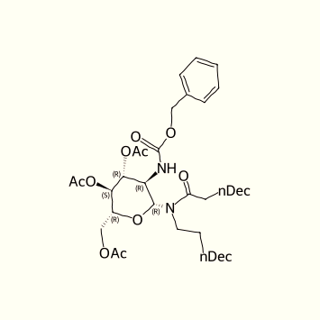 CCCCCCCCCCCCN(C(=O)CCCCCCCCCCC)[C@@H]1O[C@H](COC(C)=O)[C@@H](OC(C)=O)[C@H](OC(C)=O)[C@H]1NC(=O)OCc1ccccc1